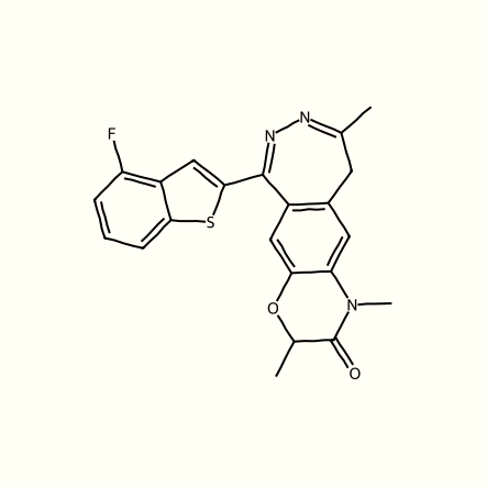 CC1=NN=C(c2cc3c(F)cccc3s2)c2cc3c(cc2C1)N(C)C(=O)C(C)O3